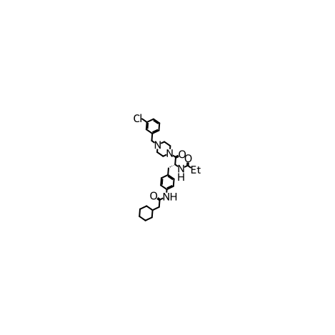 CCC(=O)N[C@H](Cc1ccc(NC(=O)CC2CCCCC2)cc1)C(=O)N1CCN(Cc2cccc(Cl)c2)CC1